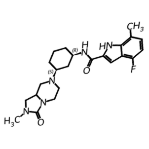 Cc1ccc(F)c2cc(C(=O)N[C@@H]3CCC[C@H](N4CCN5C(=O)N(C)CC5C4)C3)[nH]c12